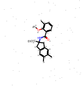 CCOC(=O)C1(NC(=O)c2cccc(C)c2OC(C)C)Cc2cc(C)c(C)cc2C1